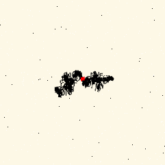 CC1CC(C)(C)OB(c2c(F)c3c4nsnc4c(B4OC(CCC5(C)COB(c6c(F)c7c8nsnc8c(B8OCC(C)(C)CO8)c(F)c7c7nsnc67)OC5)CC(C)(C)O4)c(F)c3c3nsnc23)O1